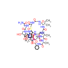 CC[C@H](C)[C@@H]1NC(=O)CNC(=O)[C@@H]2Cc3c([nH]c4cc(O)ccc34)[S@+]([O-])CC(NC(=O)CNC1=O)C(=O)N[C@@H](CC(N)=O)C(=O)N1CC(O)C[C@H]1C(=O)N[C@@H]([C@@H](C)[C@@H]1COC(c3ccccc3NC(=O)[C@H](C)NC(=O)C(NC(=O)CCN3C(=O)CC(C)C3=O)C(C)C)O1)C(=O)N2